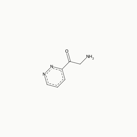 NCC(=O)c1cccnn1